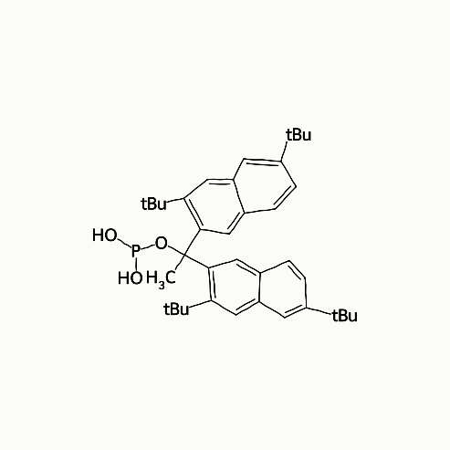 CC(C)(C)c1ccc2cc(C(C)(OP(O)O)c3cc4ccc(C(C)(C)C)cc4cc3C(C)(C)C)c(C(C)(C)C)cc2c1